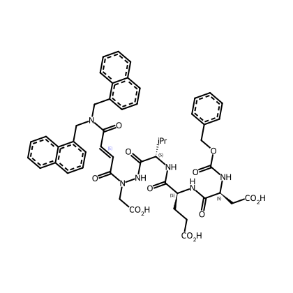 CC(C)[C@H](NC(=O)[C@H](CCC(=O)O)NC(=O)[C@H](CC(=O)O)NC(=O)OCc1ccccc1)C(=O)NN(CC(=O)O)C(=O)/C=C/C(=O)N(Cc1cccc2ccccc12)Cc1cccc2ccccc12